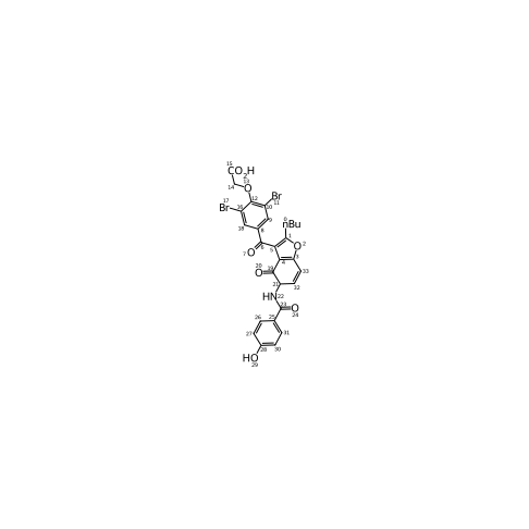 CCCCc1oc2c(c1C(=O)c1cc(Br)c(OCC(=O)O)c(Br)c1)C(=O)C(NC(=O)c1ccc(O)cc1)C=C2